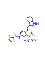 CCCC(=N)C(c1cc(NC(=O)c2sccc2C)ccc1/C=C/c1n[nH]c2ccccc12)N(C)C